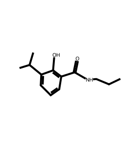 CCCNC(=O)c1cccc(C(C)C)c1O